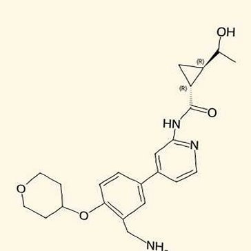 CC(O)[C@@H]1C[C@H]1C(=O)Nc1cc(-c2ccc(OC3CCOCC3)c(CN)c2)ccn1